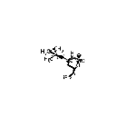 CC(C)CC1C[C@@H](C#C[Si](C)(C)C)NS(=O)(=O)O1